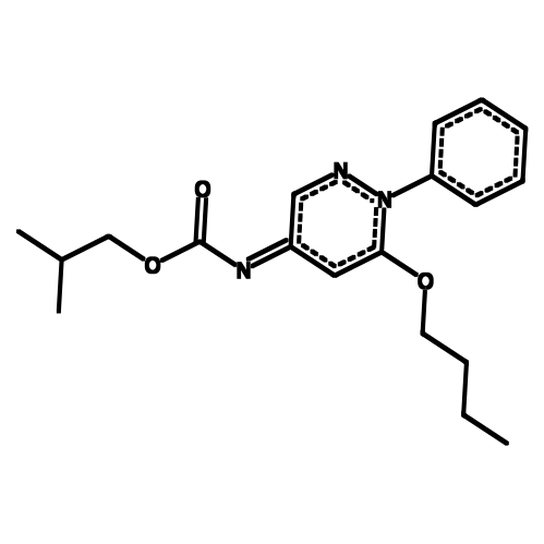 CCCCOc1cc(=NC(=O)OCC(C)C)cnn1-c1ccccc1